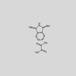 N=C1NC(=N)c2ccccc21.O=C(O)C(=O)O